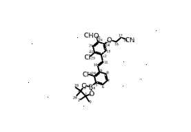 CC1(C)OB(c2cccc(/C=C/c3cc(OCCC#N)c(C=O)cc3Cl)c2Cl)OC1(C)C